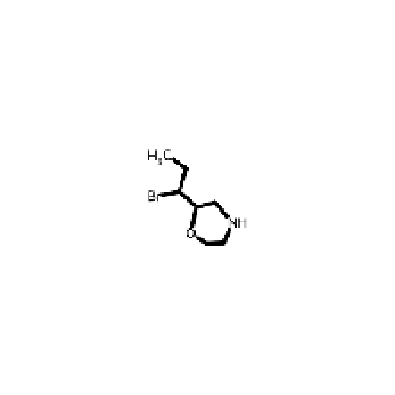 CCC(Br)C1CNCCO1